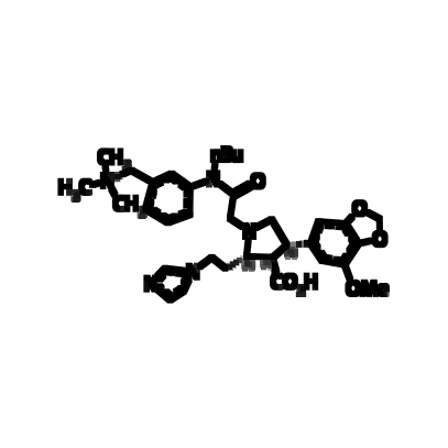 CCCCN(C(=O)CN1C[C@H](c2cc(OC)c3c(c2)OCO3)[C@@H](C(=O)O)[C@@H]1CCn1ccnc1)c1cccc(C[N+](C)(C)C)c1